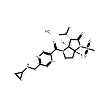 CC(C)[C@@H]1C(=O)N(S(C)(=O)=O)[C@@H]2CCN(C(=O)c3cnc(CNC4CC4)cn3)[C@H]21.Cl